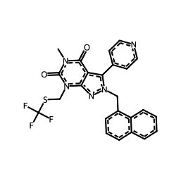 Cn1c(=O)c2c(-c3ccncc3)n(Cc3cccc4ccccc34)nc2n(CSC(F)(F)F)c1=O